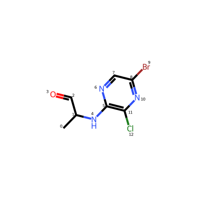 CC(C=O)Nc1ncc(Br)nc1Cl